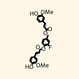 COc1cc(/C=C/C(=O)OCc2ccc(OC(=O)/C=C/c3ccc(O)c(OC)c3)c(F)c2)ccc1O